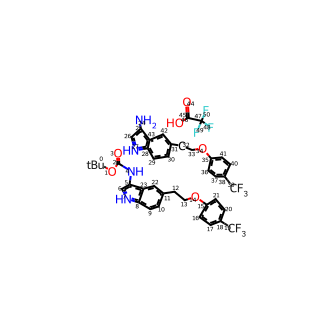 CC(C)(C)OC(=O)Nc1c[nH]c2ccc(CCOc3ccc(C(F)(F)F)cc3)cc12.Nc1c[nH]c2ccc(CCOc3ccc(C(F)(F)F)cc3)cc12.O=C(O)C(F)(F)F